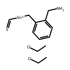 CC[O-].CC[O-].NCc1ccccc1[CH2][Sn+2][CH]=S